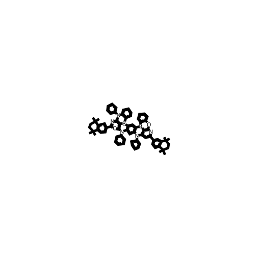 CC1(C)CCC(C)(C)c2cc(-c3cc4c5c(n3)Oc3ccccc3B5c3cc5c(cc3N4c3ccccc3)N(c3ccccc3)c3cc(-c4ccc6c(c4)C(C)(C)CCC6(C)C)nc4c3B5c3ccccc3N4c3ccccc3)ccc21